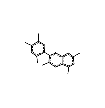 Cc1cc(C)c2cc(C)c(-c3cc(C)c(C)cc3C)nc2c1